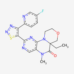 CCC12COCCN1c1nc(-c3snnc3-c3ccc(F)cn3)ncc1N(C)C2=O